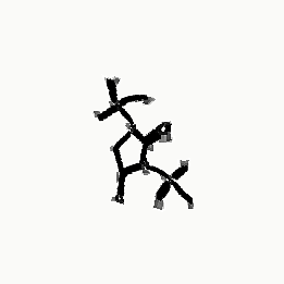 CS(C)(C)N1CC(=O)N(S(C)(C)C)C1=O